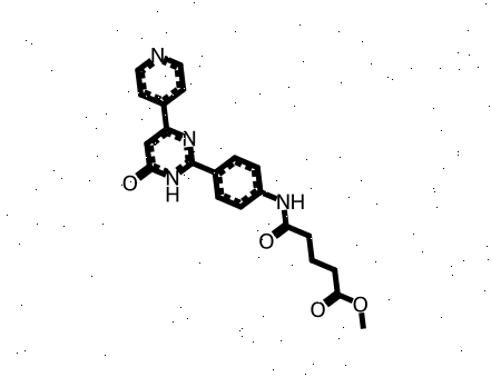 COC(=O)CCCC(=O)Nc1ccc(-c2nc(-c3ccncc3)cc(=O)[nH]2)cc1